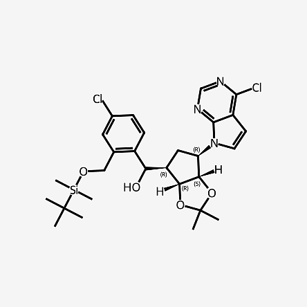 CC1(C)O[C@@H]2[C@H](O1)[C@@H](C(O)c1ccc(Cl)cc1CO[Si](C)(C)C(C)(C)C)C[C@H]2n1ccc2c(Cl)ncnc21